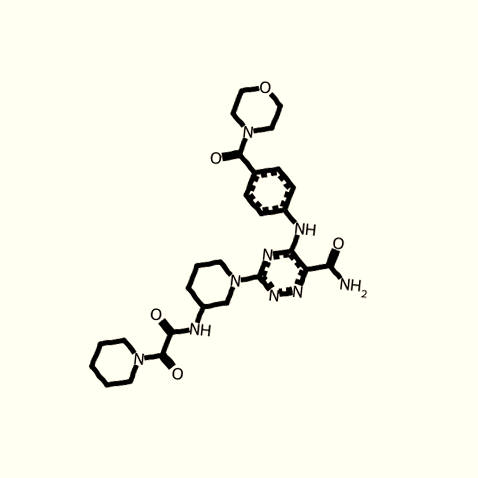 NC(=O)c1nnc(N2CCCC(NC(=O)C(=O)N3CCCCC3)C2)nc1Nc1ccc(C(=O)N2CCOCC2)cc1